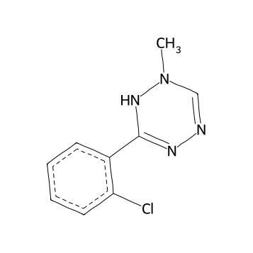 CN1C=NN=C(c2ccccc2Cl)N1